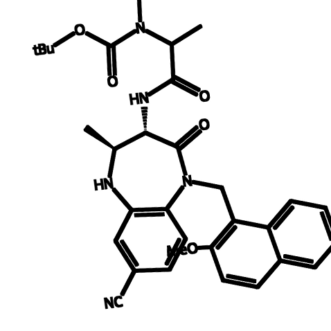 COc1ccc2ccccc2c1CN1C(=O)[C@@H](NC(=O)C(C)N(C)C(=O)OC(C)(C)C)[C@H](C)Nc2cc(C#N)ccc21